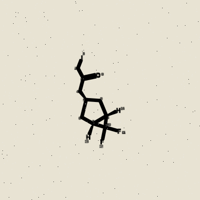 O=C(CI)C[C@@H]1C[C@@H]2[C@H](C1)C2(F)F